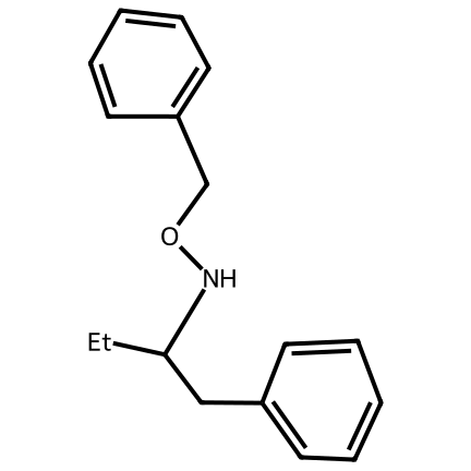 CCC(Cc1ccccc1)NOCc1ccccc1